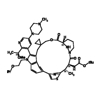 CO[C@@H](C)c1ncc(N2CCN(C)CC2)cc1-c1c2c3cc(ccc3n1CCOC(C)C)-c1csc(n1)[C@@H](C)[C@H](NC(=O)OC(C)(C)C)C(=O)N1CCC[C@H](N1)C(=O)OCC1(CC1)C2